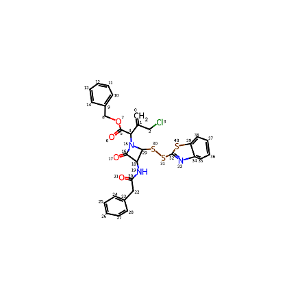 C=C(CCl)C(C(=O)OCc1ccccc1)N1C(=O)C(NC(=O)Cc2ccccc2)C1SSc1nc2ccccc2s1